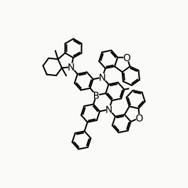 Cc1cc2c3c(c1)N(c1cccc4oc5ccccc5c14)c1cc(N4c5ccccc5C5(C)CCCCC45C)ccc1B3c1ccc(-c3ccccc3)cc1N2c1cccc2oc3ccccc3c12